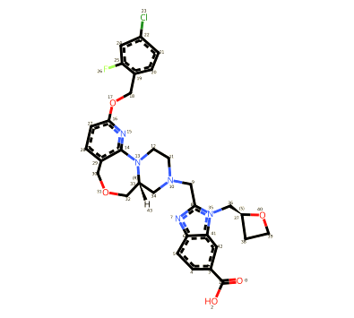 O=C(O)c1ccc2nc(CN3CCN4c5nc(OCc6ccc(Cl)cc6F)ccc5COC[C@H]4C3)n(C[C@@H]3CCO3)c2c1